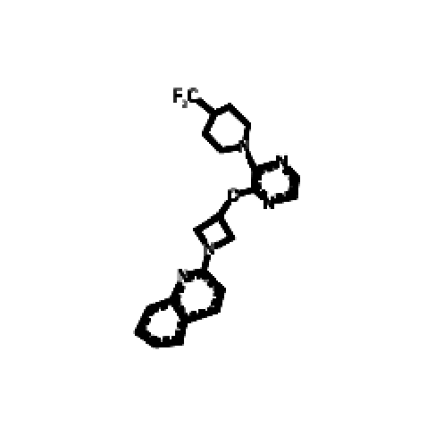 FC(F)(F)C1CCN(c2nccnc2OC2CN(c3ccc4ccccc4n3)C2)CC1